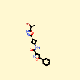 C[C@H](Br)c1nnc([C@H]2C[C@H](NC(=O)c3cc(-c4ccccc4)on3)C2)o1